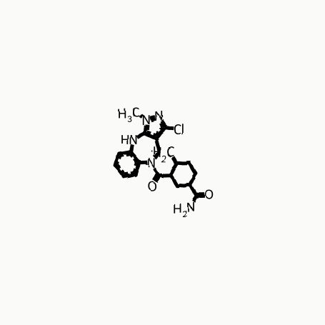 [CH2]C1CCC(C(N)=O)CC1C(=O)N1Cc2c(Cl)nn(C)c2Nc2ccccc21